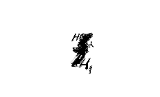 Cc1ccc2c(c1)COC(=O)N2C1CCN(CC(=O)Nc2ccc3c(c2)-c2ccccc2C3O)CC1